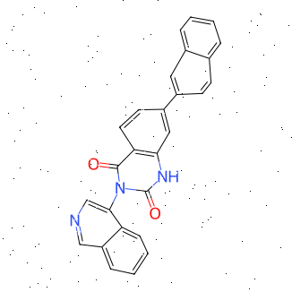 O=c1[nH]c2cc(-c3ccc4ccccc4c3)ccc2c(=O)n1-c1cncc2ccccc12